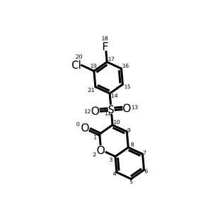 O=c1oc2ccccc2cc1S(=O)(=O)c1ccc(F)c(Cl)c1